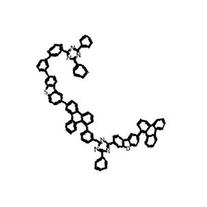 c1ccc(-c2nc(-c3ccccc3)nc(-c3cccc(-c4cccc(-c5ccc6c(c5)sc5ccc(-c7ccc8c(c7)c7ccccc7c7c(-c9cccc(-c%10nc(-c%11ccccc%11)nc(-c%11ccc%12c(c%11)oc%11ccc(-c%13cccc%14c%15ccccc%15c%15ccccc%15c%13%14)cc%11%12)n%10)c9)cccc87)cc56)c4)c3)n2)cc1